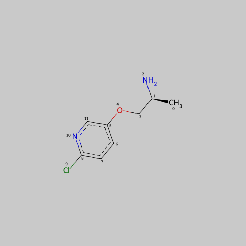 C[C@H](N)COc1ccc(Cl)nc1